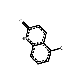 O=c1ccc2c(Cl)cccc2[nH]1